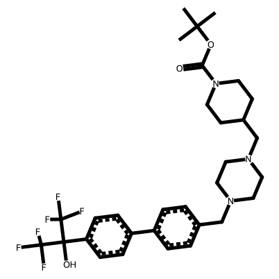 CC(C)(C)OC(=O)N1CCC(CN2CCN(Cc3ccc(-c4ccc(C(O)(C(F)(F)F)C(F)(F)F)cc4)cc3)CC2)CC1